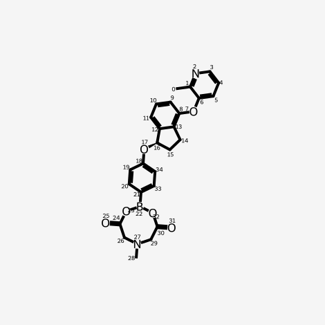 Cc1ncccc1Oc1cccc2c1CC[C@H]2Oc1ccc(B2OC(=O)CN(C)CC(=O)O2)cc1